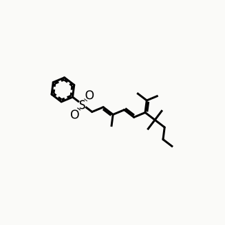 CCCC(C)(C)C(/C=C/C(C)=C/CS(=O)(=O)c1ccccc1)=C(C)C